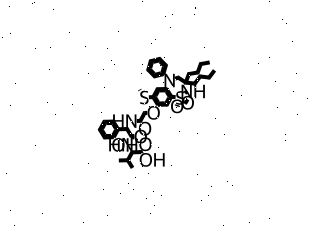 CCCCC1(CCCC)CN(c2ccccc2)c2cc(SC)c(OCC(=O)N[C@@H](C(=O)N[C@H](C(=O)O)C(C)C)c3ccccc3O)cc2S(=O)(=O)N1